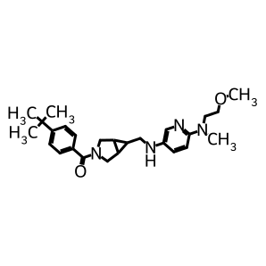 COCCN(C)c1ccc(NCC2C3CN(C(=O)c4ccc(C(C)(C)C)cc4)CC23)cn1